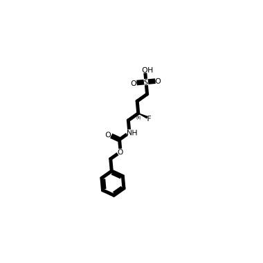 O=C(NC[C@H](F)CCS(=O)(=O)O)OCc1ccccc1